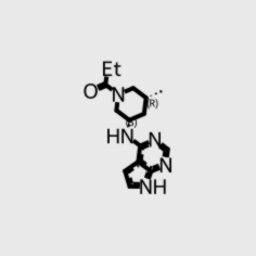 CCC(=O)N1C[C@H](C)C[C@H](Nc2ncnc3[nH]ccc23)C1